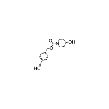 C#Cc1ccc(COC(=O)N2CCC(O)CC2)cc1